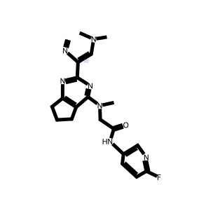 C=N/C(=C\N(C)C)c1nc2c(c(N(C)CC(=O)Nc3ccc(F)nc3)n1)CCC2